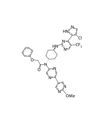 COc1ncc(-c2cnc(N(C(=O)COc3ccccc3)[C@H]3CC[C@H](Nc4ncc(C(F)(F)F)c(-c5[nH]ncc5Cl)n4)CC3)cn2)cn1